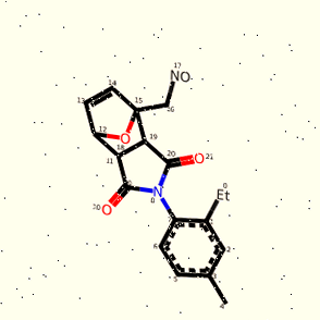 CCc1cc(C)ccc1N1C(=O)C2C3C=CC(CN=O)(O3)C2C1=O